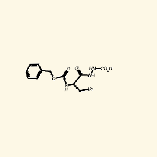 CC(C)CC(NC(=O)OCc1ccccc1)C(=O)NNC(=O)O